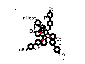 CCCCCCCc1ccc(-c2ccc(C(C(Cc3ccc(-c4ccc(CCC)cc4F)cc3)c3ccc(CC)cc3)(C(Cc3ccc(-c4ccc(CCCC)cc4F)cc3)c3ccc(CC)cc3)C(c3ccc(CC)cc3)C(Cc3ccc(-c4ccc(CC)cc4F)cc3)c3ccc(CC)cc3)cc2)c(F)c1